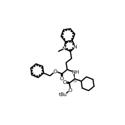 Cn1c(CCC(N[C@H](C(=O)OC(C)(C)C)C2CCCCC2)C(=O)OCc2ccccc2)nc2ccccc21